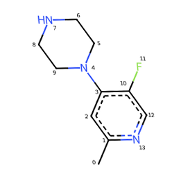 Cc1cc(N2CCNCC2)c(F)cn1